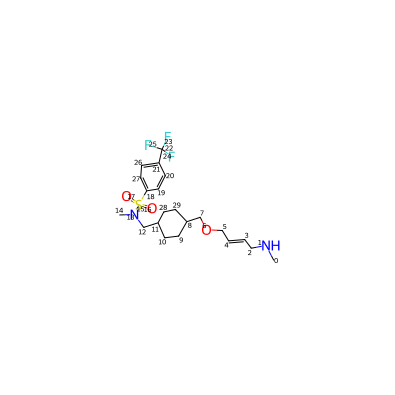 CNCC=CCOCC1CCC(CN(C)S(=O)(=O)c2ccc(C(F)(F)F)cc2)CC1